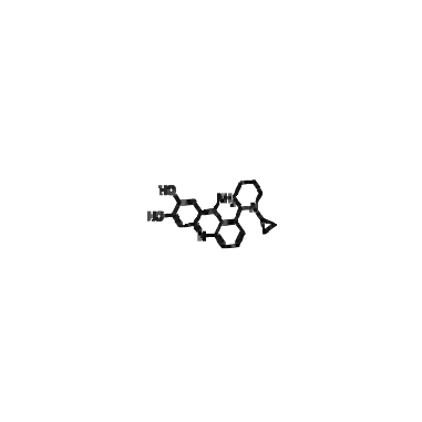 Nc1c2cc(O)c(O)cc2nc2cccc(C3CCCCN3C3CC3)c12